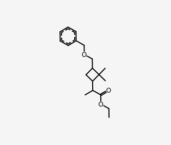 CCOC(=O)C(C)C1CC(COCc2ccccc2)C1(C)C